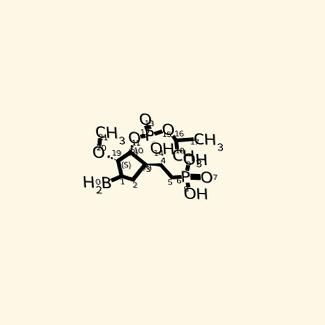 BC1C[C@H](CCP(=O)(O)O)[C@@H](OP(=O)(O)OC(C)C)[C@H]1OC